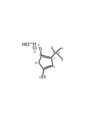 CCC1=CC([Si](C)(C)C)=[C]([Ti])C1.Cl.Cl